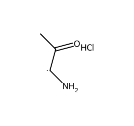 CC(=O)[CH]N.Cl